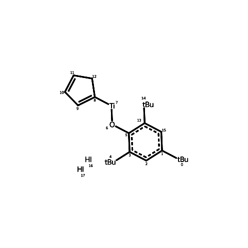 CC(C)(C)c1cc(C(C)(C)C)c([O][Ti][C]2=CC=CC2)c(C(C)(C)C)c1.I.I